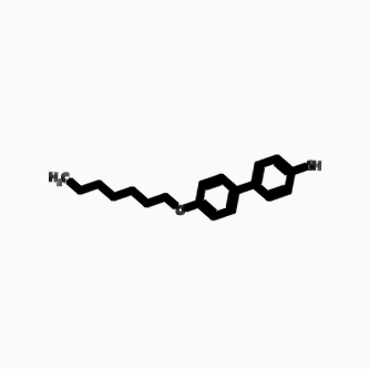 CCCCCCCOc1ccc(-c2ccc(S)cc2)cc1